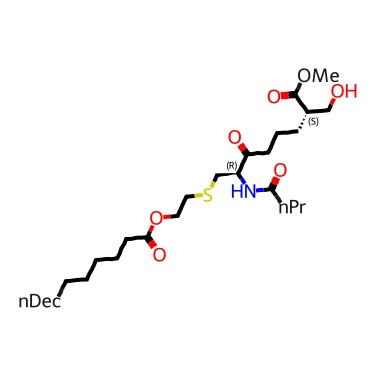 CCCCCCCCCCCCCCCC(=O)OCCSC[C@H](NC(=O)CCC)C(=O)CCC[C@@H](CO)C(=O)OC